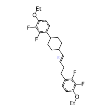 CCOc1ccc(CC/C=C/C2CCC(c3ccc(OCC)c(F)c3F)CC2)c(F)c1F